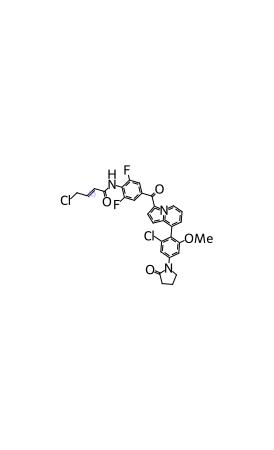 COc1cc(N2CCCC2=O)cc(Cl)c1-c1cccn2c(C(=O)c3cc(F)c(NC(=O)/C=C/CCl)c(F)c3)ccc12